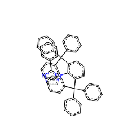 c1ccc(-c2nccn2-c2c(C(c3ccccc3)(c3ccccc3)c3ccccc3)cccc2C(c2ccccc2)(c2ccccc2)c2ccccc2)cc1